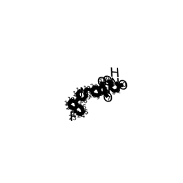 O=C1CCC(N2C(=O)c3ccc(CN4CC=C(c5cccc6c(F)cccc56)CC4)cc3C2=O)C(=O)N1